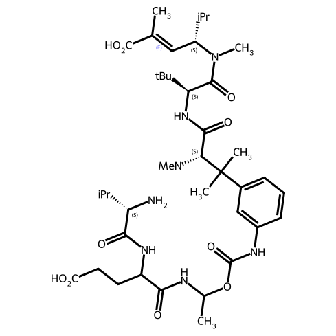 CN[C@H](C(=O)N[C@H](C(=O)N(C)[C@H](/C=C(\C)C(=O)O)C(C)C)C(C)(C)C)C(C)(C)c1cccc(NC(=O)OC(C)NC(=O)C(CCC(=O)O)NC(=O)[C@@H](N)C(C)C)c1